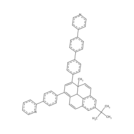 CC(C)(C)c1cc2c3c(c1)C=CC1(C)C(c4ccc(-c5ccc(-c6ccncc6)cc5)cc4)=CC(c4ccc(-c5ccccn5)cc4)=C(C=C2)C31